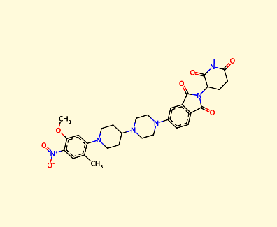 COc1cc(N2CCC(N3CCN(c4ccc5c(c4)C(=O)N(C4CCC(=O)NC4=O)C5=O)CC3)CC2)c(C)cc1[N+](=O)[O-]